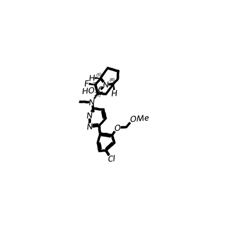 COCOc1cc(Cl)ccc1-c1ccc(N(C)[C@@H]2C[C@H]3CCC[C@@H]([C@@H]2F)N3C(=O)O)nn1